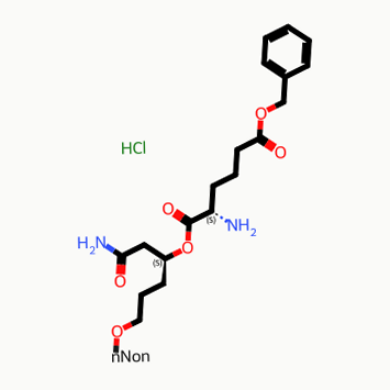 CCCCCCCCCOCCC[C@@H](CC(N)=O)OC(=O)[C@@H](N)CCCC(=O)OCc1ccccc1.Cl